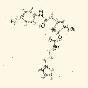 CCCCn1cc(NC(=O)Nc2ccc(C(F)(F)F)cc2)nc1OC(=O)NCCCn1cccn1